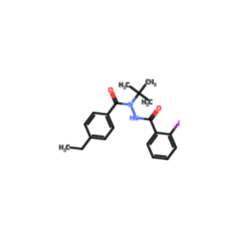 CCc1ccc(C(=O)N(NC(=O)c2ccccc2I)C(C)(C)C)cc1